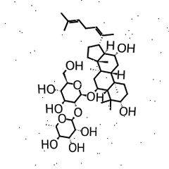 CC(C)=CC/C=C(/C)[C@H]1CC[C@]2(C)[C@@H]1[C@H](O)C[C@@H]1[C@@]3(C)CC[C@H](O)C(C)(C)[C@@H]3[C@@H](O[C@@H]3O[C@H](CO)[C@@H](O)[C@H](O)[C@H]3O[C@@H]3O[C@@H](C)[C@H](O)[C@@H](O)[C@H]3O)C[C@]12C